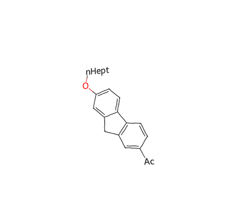 CCCCCCCOc1ccc2c(c1)Cc1cc(C(C)=O)ccc1-2